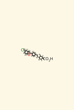 Cc1cc(C(=O)O)ccc1C=Cc1ccc(-c2cc3cc(Cl)ccc3o2)cc1